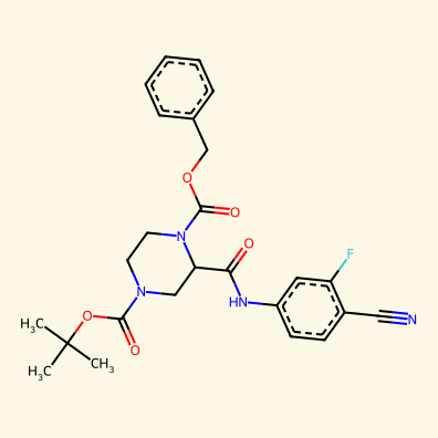 CC(C)(C)OC(=O)N1CCN(C(=O)OCc2ccccc2)C(C(=O)Nc2ccc(C#N)c(F)c2)C1